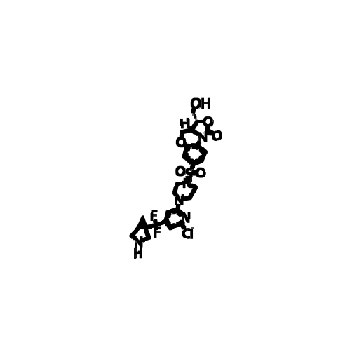 O=C1O[C@@H](CO)[C@H]2COc3cc(S(=O)(=O)N4CCN(c5cc(C(F)(F)C67CNCC6C7)cc(Cl)n5)CC4)ccc3N12